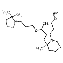 CC(C)OCCCN1CCCCC1(C)CCC(C)OCCCN1CCCC1(C)C